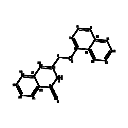 O=c1[nH]c(COc2cccc3ccccc23)nc2ncccc12